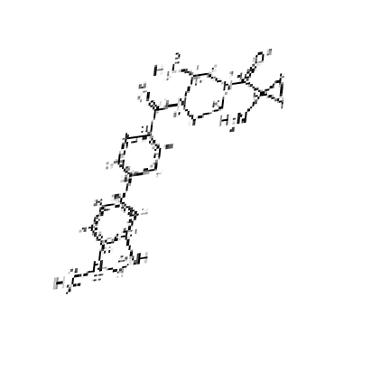 C[C@H]1CN(C(=O)C2(N)CC2)CCN1C(=O)c1ccc(-c2ccc3c(c2)NCN3C)cc1